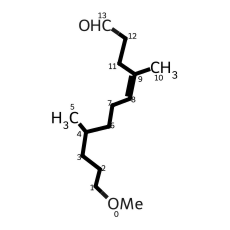 COCCCC(C)CCC=C(C)CCC=O